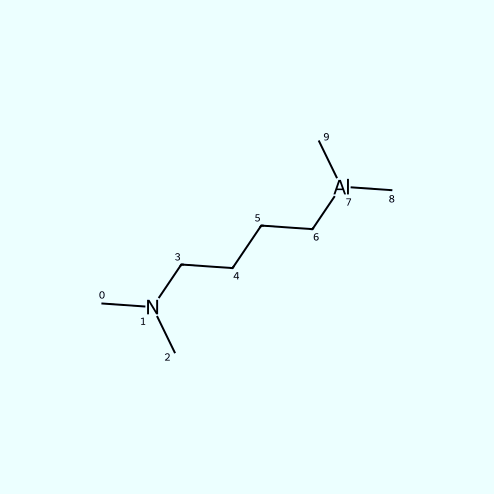 CN(C)CCC[CH2][Al]([CH3])[CH3]